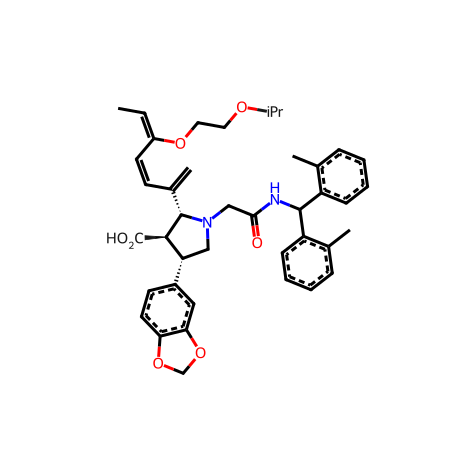 C=C(/C=C\C(=C/C)OCCOC(C)C)[C@H]1[C@H](C(=O)O)[C@@H](c2ccc3c(c2)OCO3)CN1CC(=O)NC(c1ccccc1C)c1ccccc1C